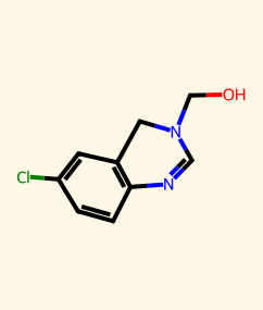 OCN1C=Nc2ccc(Cl)cc2C1